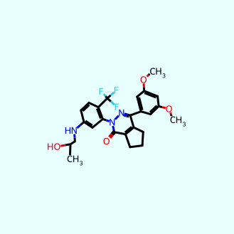 COc1cc(OC)cc(-c2nn(-c3cc(NCC(C)O)ccc3C(F)(F)F)c(=O)c3c2CCC3)c1